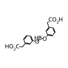 O=C(O)Cc1cccc(OBOc2cccc(CC(=O)O)c2)c1